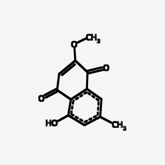 COC1=CC(=O)c2c(O)cc(C)cc2C1=O